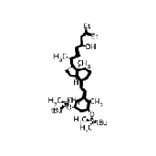 C=C1/C(=C/C=C2\CCC[C@]3(C)[C@@H]([C@H](C)/C=C/[C@H](O)CC(CC)CC)CC[C@@H]23)C[C@@H](O[Si](C)(C)C(C)(C)C)C[C@@H]1O[Si](C)(C)C(C)(C)C